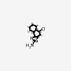 Nc1nc2c(cc(Cl)c3ccccc32)s1